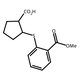 COC(=O)c1ccccc1SC1CCCC1C(=O)O